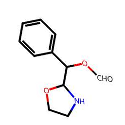 O=COC(c1ccccc1)C1NCCO1